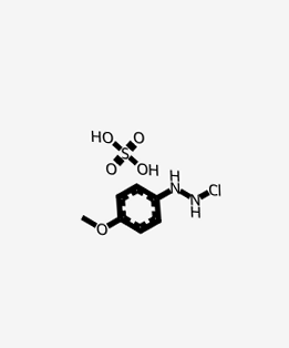 COc1ccc(NNCl)cc1.O=S(=O)(O)O